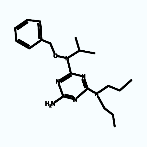 CCCN(CCC)c1nc(N)nc(N(OCc2ccccc2)C(C)C)n1